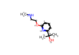 CNCCOc1cccc(C(C)(C)O)n1